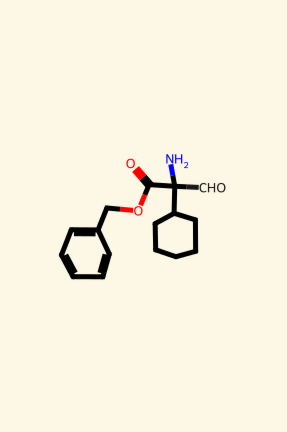 NC(C=O)(C(=O)OCc1ccccc1)C1CCCCC1